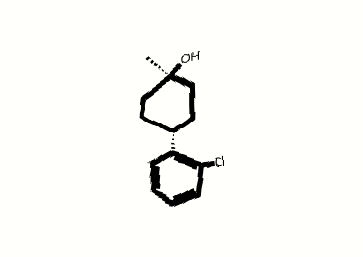 C[C@]1(O)CC[C@H](c2[c]cccc2Cl)CC1